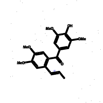 C/C=C/c1cc(OC)c(OC)cc1C(=O)c1cc(OC)c(O)c(OC)c1